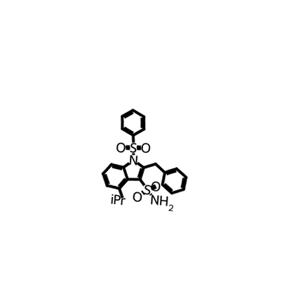 CC(C)c1cccc2c1c(S(N)(=O)=O)c(Cc1ccccc1)n2S(=O)(=O)c1ccccc1